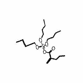 C=C(CCC)C(=O)O[Si](OCCCC)(OCCCC)OCCCC